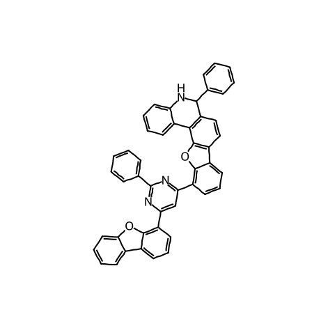 c1ccc(-c2nc(-c3cccc4c3oc3ccccc34)cc(-c3cccc4c3oc3c5c(ccc34)C(c3ccccc3)Nc3ccccc3-5)n2)cc1